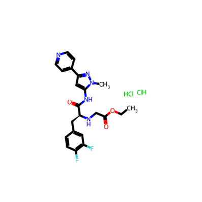 CCOC(=O)CN[C@@H](Cc1ccc(F)c(F)c1)C(=O)Nc1cc(-c2ccncc2)nn1C.Cl.Cl